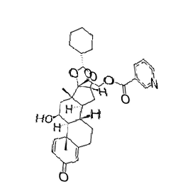 C[C@]12C=CC(=O)C=C1CC[C@@H]1[C@@H]2[C@@H](O)C[C@@]2(C)[C@H]1C[C@H]1O[C@@H](C3CCCCC3)O[C@]12C(=O)COC(=O)c1cccnc1